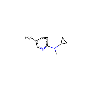 CCOC(=O)c1ccc(N(CC)C2CC2)nc1